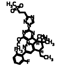 CC[C@@H]1CC(C)(C)[C@@](C)(c2cc(OC)nc(-n3cnc(CCS(C)(=O)=O)n3)n2)c2nnc(-c3c(F)cccc3F)cc21